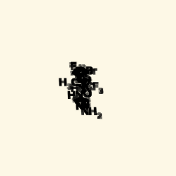 Cc1c([C@@H](NC(=O)Nc2cnc(N)nc2)C(F)(F)F)oc2c(Br)cc(F)cc12